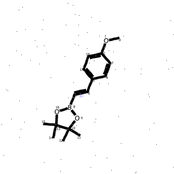 COc1ccc(/C=C/B2OC(C)(C)C(C)(C)O2)cc1